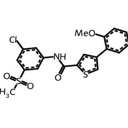 COc1ccccc1-c1csc(C(=O)Nc2cc(Cl)cc(S(C)(=O)=O)c2)c1